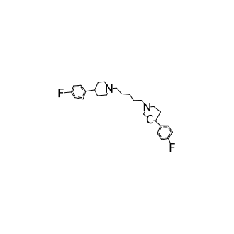 Fc1ccc(C2CCN(CCCCCN3CCC(c4ccc(F)cc4)CC3)CC2)cc1